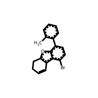 Cc1ccccc1-c1ccc(Br)c2c3c(oc12)CCC=C3